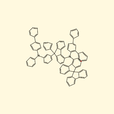 c1ccc(-c2ccc(N(c3ccccc3)c3cccc(C4(c5ccccc5)c5ccccc5-c5c(N(c6ccc(-c7ccccc7)cc6-c6ccccc6)c6cccc7c6-c6ccccc6C76c7ccccc7-c7ccccc76)cccc54)c3)cc2)cc1